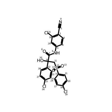 N#Cc1ccc(NC(=O)C(O)(CS(=O)(=O)c2ccc(Cl)cc2)c2ccc(Cl)cc2)cc1Cl